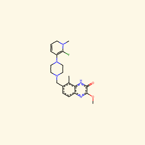 COc1nc2ccc(CN3CCN(C4=C(F)N(C)CC=C4)CC3)c(C)c2[nH]c1=O